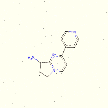 NC1CC[n+]2ccc(-c3ccncc3)nc21